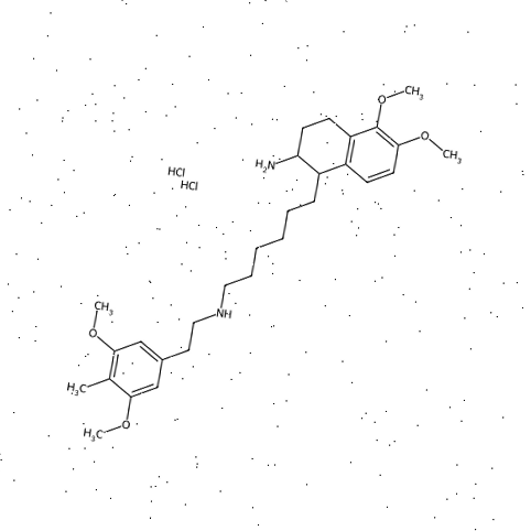 COc1cc(CCNCCCCCCC2c3ccc(OC)c(OC)c3CCC2N)cc(OC)c1C.Cl.Cl